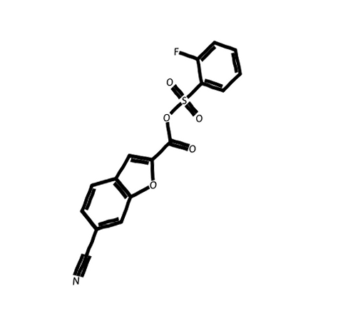 N#Cc1ccc2cc(C(=O)OS(=O)(=O)c3ccccc3F)oc2c1